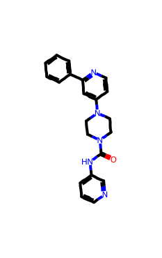 O=C(Nc1cccnc1)N1CCN(c2ccnc(-c3ccccc3)c2)CC1